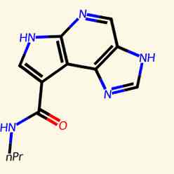 CCCNC(=O)c1c[nH]c2ncc3[nH]cnc3c12